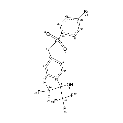 O=S(=O)(Cc1ccc(C(O)(C(F)(F)F)C(F)(F)F)cc1)c1ccc(Br)cc1